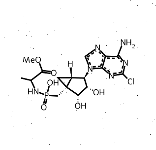 COC(=O)C(C)NP(=O)(O)C[C@]12C[C@@H]1[C@@H](n1cnc3c(N)nc(Cl)nc31)[C@H](O)[C@@H]2O